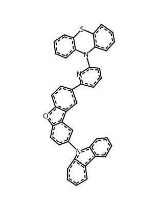 c1cc(-c2ccc3oc4ccc(-n5c6ccccc6c6ccccc65)cc4c3c2)nc(N2c3ccccc3Sc3ccccc32)c1